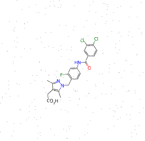 Cc1nn(Cc2ccc(NC(=O)c3ccc(Cl)c(Cl)c3)cc2F)c(C)c1CC(=O)O